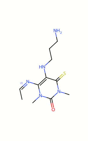 C/C=N\c1c(NCCCN)c(=S)n(C)c(=O)n1C